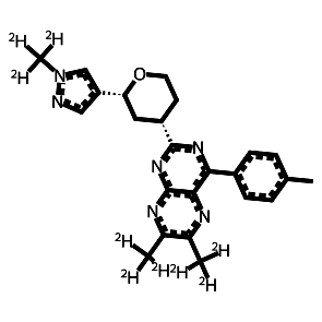 [2H]C([2H])([2H])c1nc2nc([C@H]3CCO[C@@H](c4cnn(C([2H])([2H])[2H])c4)C3)nc(-c3ccc(C)cc3)c2nc1C([2H])([2H])[2H]